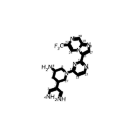 N=C/C(=C\N)C1CC(N)CN(c2ccnc(-c3cnc4cnc(C(F)(F)F)cn34)n2)C1